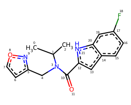 CC(C)N(Cc1ccon1)C(=O)c1cc2ccc(F)cc2[nH]1